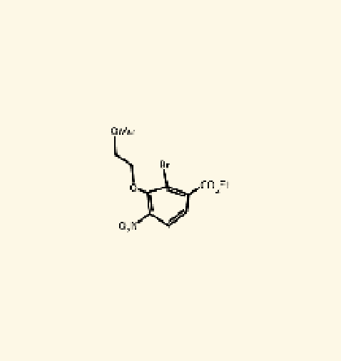 CCOC(=O)c1ccc([N+](=O)[O-])c(OCCOC)c1Br